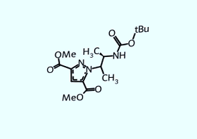 COC(=O)c1cc(C(=O)OC)n(C(C)[C@@H](C)NC(=O)OC(C)(C)C)n1